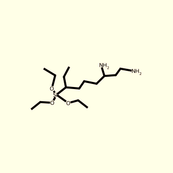 CCO[Si](OCC)(OCC)C(CC)CCCC(N)CCN